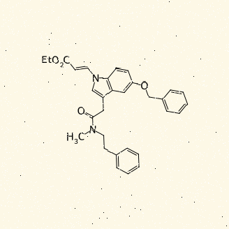 CCOC(=O)C=Cn1cc(CC(=O)N(C)CCc2ccccc2)c2cc(OCc3ccccc3)ccc21